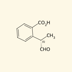 C[C@H](C=O)c1ccccc1C(=O)O